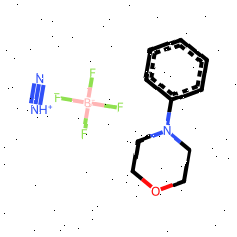 F[B-](F)(F)F.N#[NH+].c1ccc(N2CCOCC2)cc1